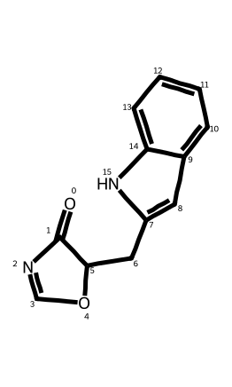 O=C1N=COC1Cc1cc2ccccc2[nH]1